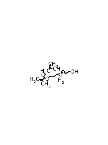 C=C(C)C(=O)OCCC[SiH2]OCCO.CN(C)C